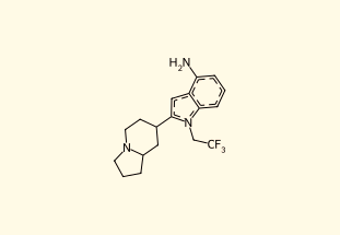 Nc1cccc2c1cc(C1CCN3CCCC3C1)n2CC(F)(F)F